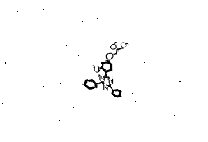 COCC(COc1ccc(-c2nc(-c3ccccc3)nc(-c3ccccc3)n2)c(OC)c1)OC